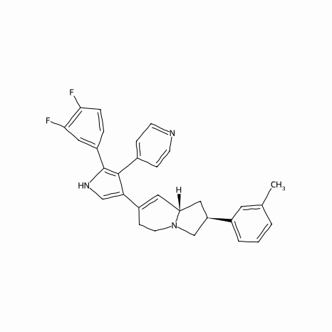 Cc1cccc([C@@H]2C[C@H]3C=C(c4c[nH]c(-c5ccc(F)c(F)c5)c4-c4ccncc4)CCN3C2)c1